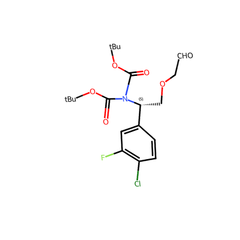 CC(C)(C)OC(=O)N(C(=O)OC(C)(C)C)[C@H](COCC=O)c1ccc(Cl)c(F)c1